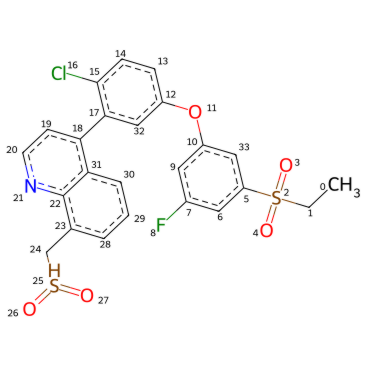 CCS(=O)(=O)c1cc(F)cc(Oc2ccc(Cl)c(-c3ccnc4c(C[SH](=O)=O)cccc34)c2)c1